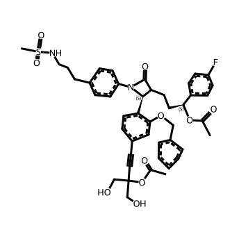 CC(=O)O[C@@H](CCC1C(=O)N(c2ccc(CCCNS(C)(=O)=O)cc2)[C@@H]1c1ccc(C#CC(CO)(CO)OC(C)=O)cc1OCc1ccccc1)c1ccc(F)cc1